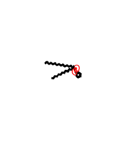 CCCCCCCCCCCCCCC(C)(CCCCCCCCCCCC)C(=O)Oc1ccccc1